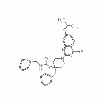 CC(C)Oc1ccc2c(O)nc(N3CCC(Cc4ccccc4)(OC(=O)NCc4ccccc4)CC3)nc2c1